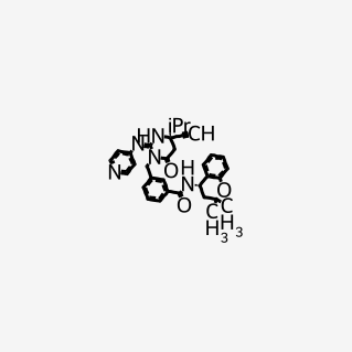 C#C[C@@]1(C(C)C)CC(=O)N(Cc2cccc(C(=O)N[C@H]3CC(C)(C)Oc4ccccc43)c2)/C(=N\c2ccncc2)N1